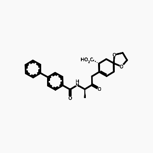 C[C@@H](NC(=O)c1ccc(-c2ccccc2)cc1)C(=O)CC1=CCC2(C[C@H]1C(=O)O)OCCO2